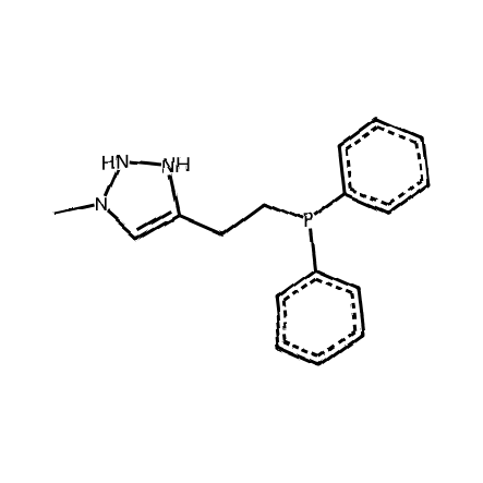 CN1C=C(CCP(c2ccccc2)c2ccccc2)NN1